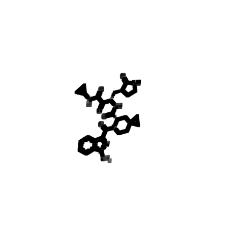 Cn1nc(C(=O)N2CCC3(CC3)C[C@H]2C(=O)N[C@@H](C[C@@H]2CCNC2=O)C(=O)C(=O)NC2CC2)c2ccccc21